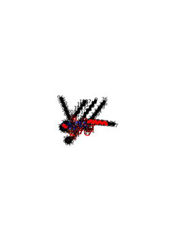 CCCCCCCCCCC[C@H](CC(=O)N[C@H]1[C@H](OC[C@H](NC(=O)C[C@@H](CCCCCCCCCCC)OCCCCCCCCCC)C(=O)OC)O[C@H](COCc2ccccc2)[C@@H](OP(Cc2ccccc2)Cc2ccccc2)[C@H]1NC(=O)C[C@@H](CCCCCCCCCCC)OCCCCCCCCCC)OCCCCCCCCCC